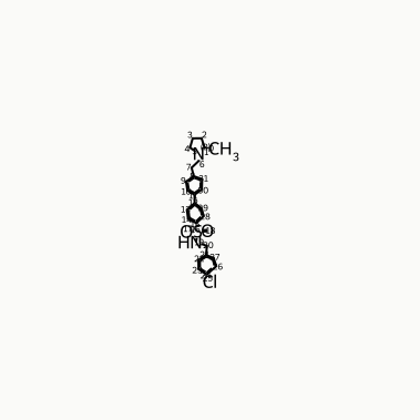 C[C@@H]1CCCN1CCc1ccc(-c2ccc(S(=O)(=O)NCc3ccc(Cl)cc3)cc2)cc1